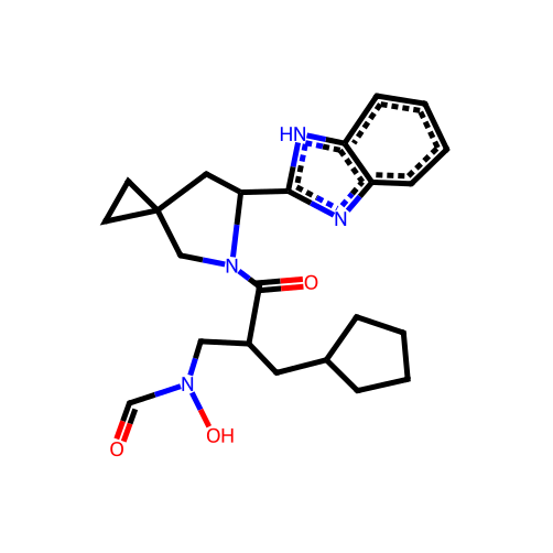 O=CN(O)CC(CC1CCCC1)C(=O)N1CC2(CC2)CC1c1nc2ccccc2[nH]1